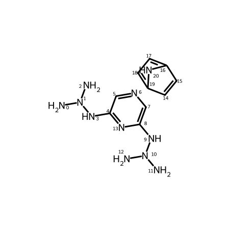 NN(N)Nc1cncc(NN(N)N)n1.c1cc2ccc1[nH]2